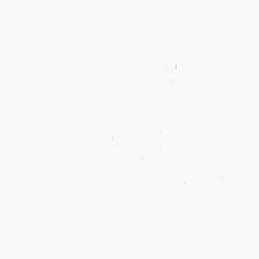 CCC(CC)C(=O)OCOP(=O)(O)C(O)(CCCNC)P(=O)(OCOC(=O)C(CC)CC)OCOC(=O)C(CC)CC